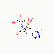 Cn1cc(/C=C2/C(=O)N3C(C(=O)O)=CS[C@H]23)nn1.O